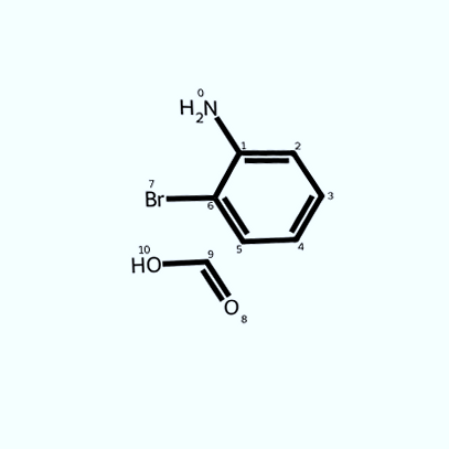 Nc1ccccc1Br.O=CO